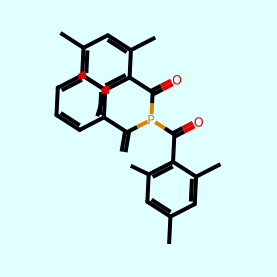 C=C(c1ccccc1)P(C(=O)c1c(C)cc(C)cc1C)C(=O)c1c(C)cc(C)cc1C